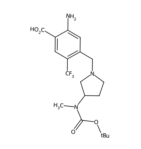 CN(C(=O)OC(C)(C)C)C1CCN(Cc2cc(N)c(C(=O)O)cc2C(F)(F)F)C1